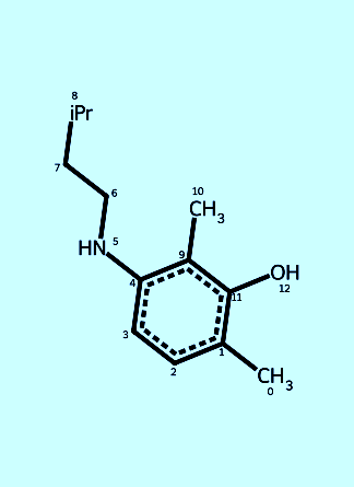 Cc1ccc(NCCC(C)C)c(C)c1O